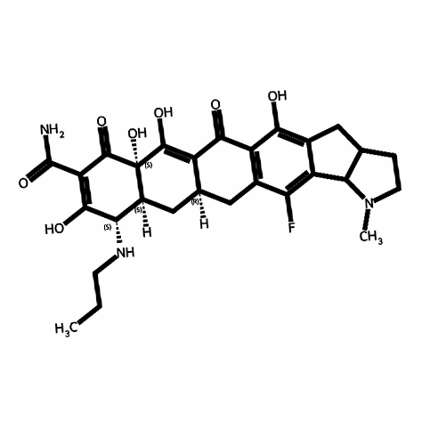 CCCN[C@@H]1C(O)=C(C(N)=O)C(=O)[C@@]2(O)C(O)=C3C(=O)c4c(O)c5c(c(F)c4C[C@H]3C[C@@H]12)C1C(CCN1C)C5